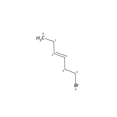 CCC=CCCBr